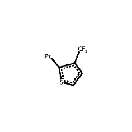 CC(C)c1sccc1C(F)(F)F